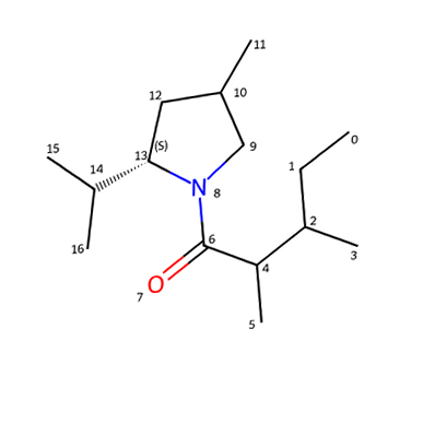 CCC(C)C(C)C(=O)N1CC(C)C[C@H]1C(C)C